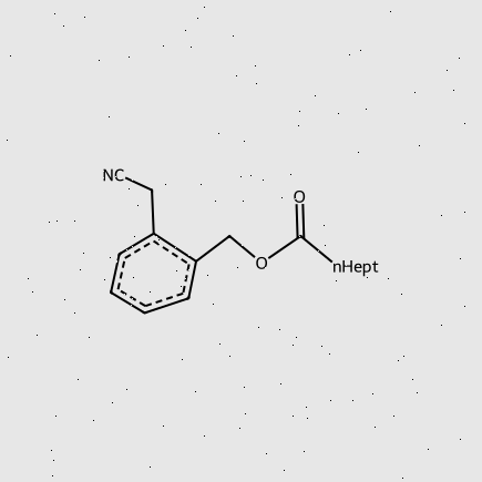 CCCCCCCC(=O)OCc1ccccc1CC#N